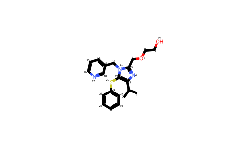 CC(C)c1nc(COCCO)n(Cc2cccnc2)c1Sc1ccccc1